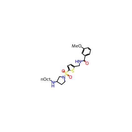 CCCCCCCCNC1CCN(S(=O)(=O)c2ccc(CNC(=O)c3cccc(OC)c3)s2)C1